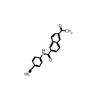 C#Cc1ccc(NC(=O)c2ccc3cc(C(C)=O)ccc3c2)cc1